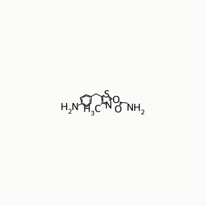 Cc1nc(OC(=O)CN)sc1Cc1ccc(N)cc1